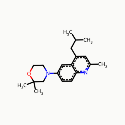 Cc1cc(CC(C)C)c2cc(N3CCOC(C)(C)C3)ccc2n1